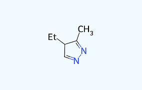 CCC1C=NN=C1C